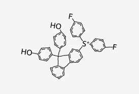 Oc1ccc(C2(c3ccc(O)cc3)c3ccccc3-c3ccc([S+](c4ccc(F)cc4)c4ccc(F)cc4)cc32)cc1